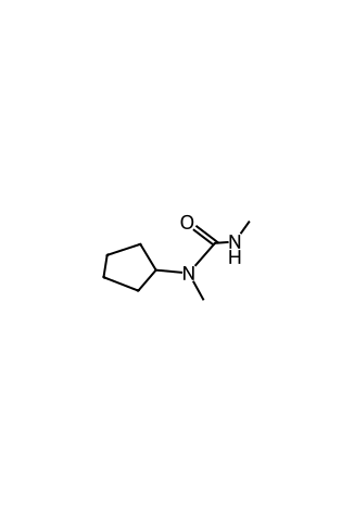 CNC(=O)N(C)C1CCCC1